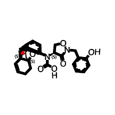 CN1CC[C@@]23C=CCC[C@@H]2Oc2c(N(C(=O)O)[C@H]4CON(Cc5ccccc5O)C4=O)ccc(c23)C1